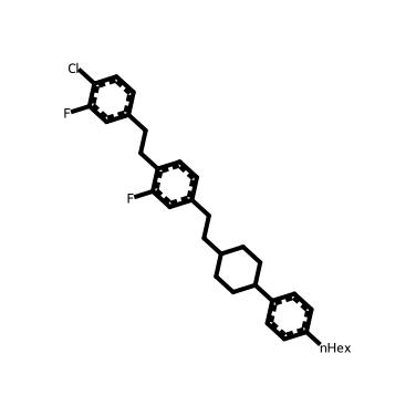 CCCCCCc1ccc(C2CCC(CCc3ccc(CCc4ccc(Cl)c(F)c4)c(F)c3)CC2)cc1